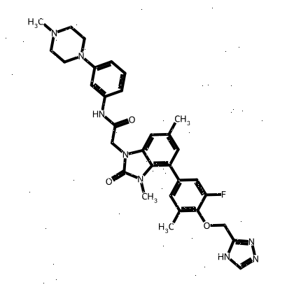 Cc1cc(-c2cc(C)c(OCc3nnc[nH]3)c(F)c2)c2c(c1)n(CC(=O)Nc1cccc(N3CCN(C)CC3)c1)c(=O)n2C